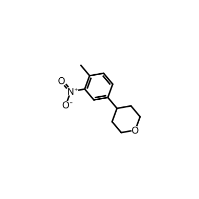 Cc1ccc(C2CCOCC2)cc1[N+](=O)[O-]